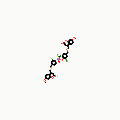 COc1ccc2c(CSCc3ccc(OP(=O)(Oc4ccc(CSCc5cc(=O)oc6cc(OC)ccc56)cc4Br)C(F)F)c(Br)c3)cc(=O)oc2c1